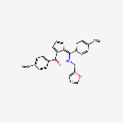 COc1ccc(C(=O)C2=CC=C/C2=C(/NCc2ccco2)c2ccc(OC)cc2)cc1